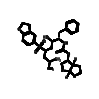 CC(C)CN(C[C@@H](O)[C@H](Cc1ccccc1)NC(=O)OC1CO[C@H]2OCC[C@@H]12)S(=O)(=O)c1ccc2c(c1)CCO2